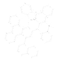 CC1(C)c2ccccc2N(c2nc(-c3cccc4ccccc34)c3c4ccccc4c4ccccc4c3n2)c2c1c1ccccc1c1c2oc2ccccc21